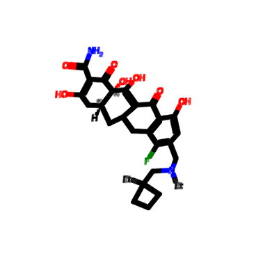 CCN(Cc1cc(O)c2c(c1F)CC1C[C@H]3CC(O)=C(C(N)=O)C(=O)[C@@]3(O)C(O)=C1C2=O)CC1(CC)CCC1